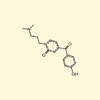 CN(C)CCCn1ccc(C(=O)c2ccc(O)cc2)cc1=O